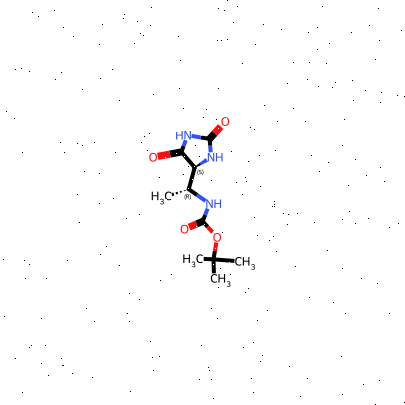 C[C@@H](NC(=O)OC(C)(C)C)[C@@H]1NC(=O)NC1=O